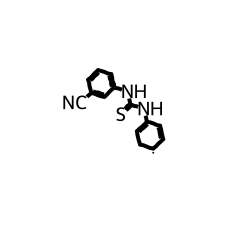 N#Cc1cccc(NC(=S)NC2=CC[CH]C=C2)c1